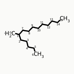 [CH2]C(CCCCC)CCCCCCCCC